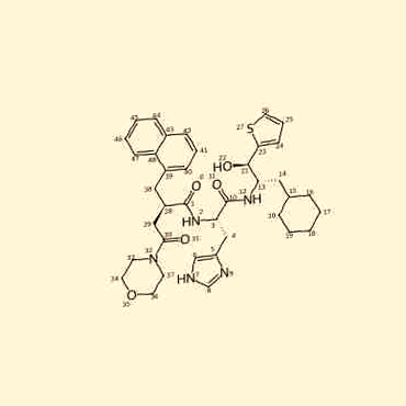 O=C(N[C@@H](Cc1c[nH]cn1)C(=O)N[C@@H](CC1CCCCC1)[C@@H](O)c1cccs1)[C@@H](CC(=O)N1CCOCC1)Cc1cccc2ccccc12